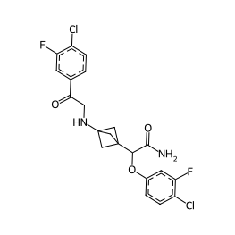 NC(=O)C(Oc1ccc(Cl)c(F)c1)C12CC(NCC(=O)c3ccc(Cl)c(F)c3)(C1)C2